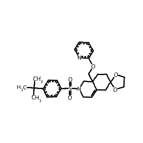 CC(C)(C)c1ccc(S(=O)(=O)N2CC=C3CC4(CCC3(COc3ccccn3)C2)OCCO4)cc1